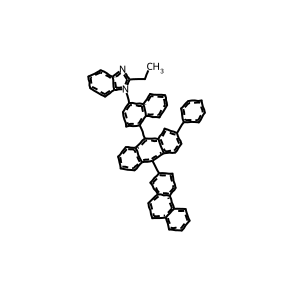 CCc1nc2ccccc2n1-c1ccc(-c2c3ccccc3c(-c3ccc4c(ccc5ccccc54)c3)c3ccc(-c4ccccc4)cc23)c2ccccc12